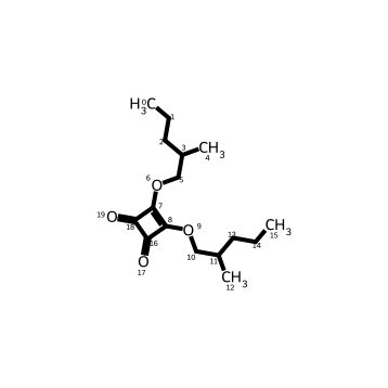 CCCC(C)COc1c(OCC(C)CCC)c(=O)c1=O